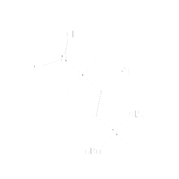 CCCC[N+](C)(CCCC)CCC(C)(C)N(Cl)Cl.[Cl-]